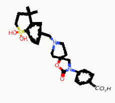 CC1(C)CCS(O)(O)c2ccc(CN3CCC4(CC3)CN(c3ccc(C(=O)O)cc3)C(=O)O4)cc21